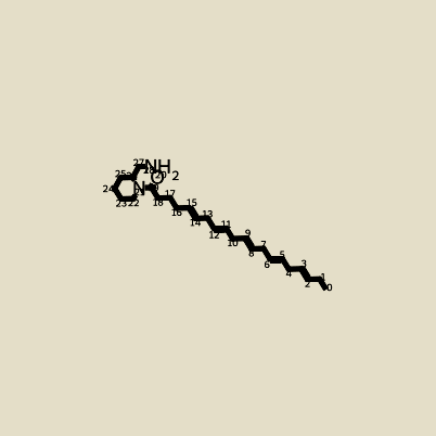 CCC=CCC=CCC=CCC=CCC=CCCCC(=O)N1CCCCC1CN